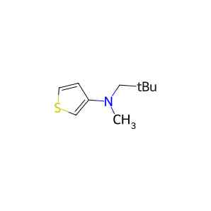 CN(CC(C)(C)C)c1ccsc1